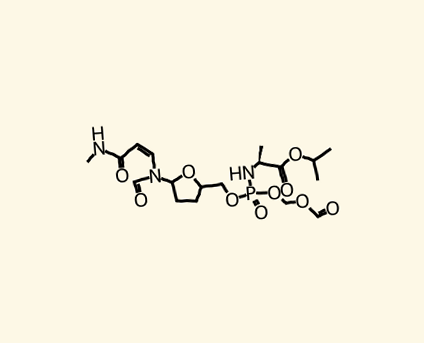 CNC(=O)/C=C\N(C=O)C1CCC(COP(=O)(N[C@@H](C)C(=O)OC(C)C)OCOC=O)O1